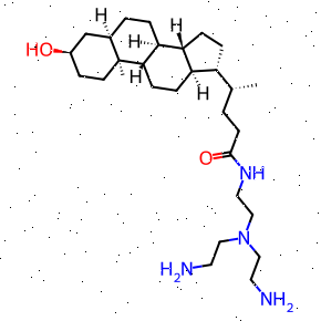 C[C@H](CCC(=O)NCCN(CCN)CCN)[C@H]1CC[C@@H]2[C@@H]1CC[C@H]1[C@H]2CC[C@@H]2C[C@H](O)CC[C@@]21C